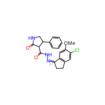 COc1cc2c(cc1Cl)CC/C2=N/NC(=O)C1C(=O)NCC1c1ccccc1